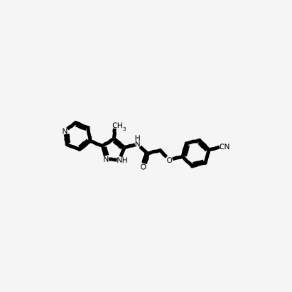 Cc1c(-c2ccncc2)n[nH]c1NC(=O)COc1ccc(C#N)cc1